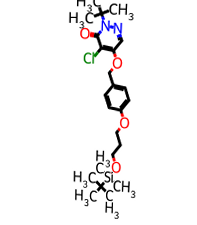 CC(C)(C)n1ncc(OCc2ccc(OCCCO[Si](C)(C)C(C)(C)C)cc2)c(Cl)c1=O